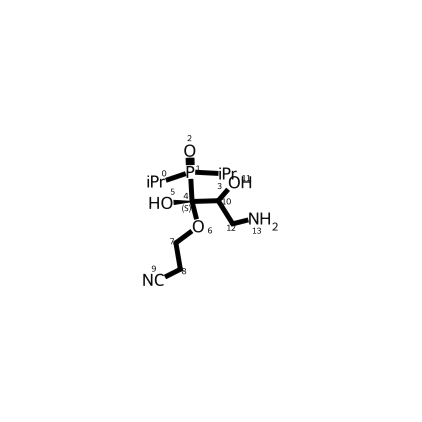 CC(C)P(=O)(C(C)C)[C@@](O)(OCCC#N)C(O)CN